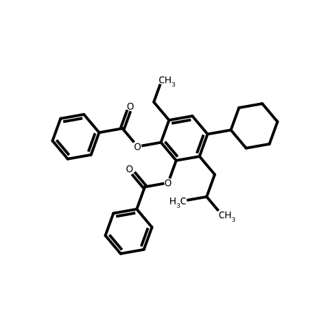 CCc1cc(C2CCCCC2)c(CC(C)C)c(OC(=O)c2ccccc2)c1OC(=O)c1ccccc1